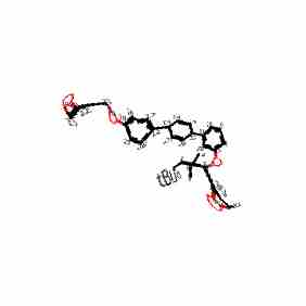 CC(C)(C)CC(C)(C)C(Oc1cccc(C2C=CC(c3ccc(OCC4CO4)cc3)C=C2)c1)C1CO1